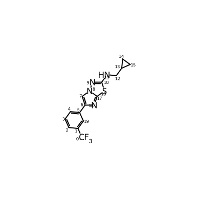 FC(F)(F)c1cccc(-c2cn3nc(NCC4CC4)sc3n2)c1